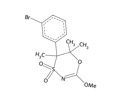 COC1=NS(=O)(=O)C(C)(c2cccc(Br)c2)C(C)(C)O1